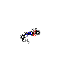 Cc1cccc(-c2csc(N3CCC(S(=O)(=O)c4ccccc4C#N)CC3)n2)c1